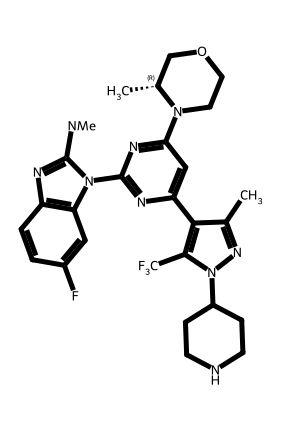 CNc1nc2ccc(F)cc2n1-c1nc(-c2c(C)nn(C3CCNCC3)c2C(F)(F)F)cc(N2CCOC[C@H]2C)n1